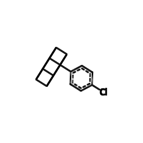 Clc1ccc(C23C4C5C6C4C2C6C53)cc1